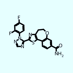 NC(=O)c1ccc2c(c1)OCCc1nc(-c3ncnn3-c3ccc(F)cc3F)sc1-2